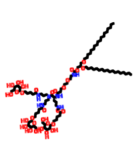 CCCCCCCCCCCCCCCCCCOCC(COC(=O)NCCOCCOCCC(=O)N[C@@H](CCCNOC(=O)CCCCOC1OC(CO)C(O)C(O)C1O)C(=O)N(CCCNC(=O)CCCCOC1OC(CO)C(O)C(O)C1O)CCCNC(=O)CCCCOC1OC(CO)C(O)C(O)C1O)OCCCCCCCCCCCCCCCCCC